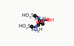 CN(CCCOO)C(=O)c1ccccc1-c1c2cc/c(=N/CCc3ccc(S(=O)(=O)O)cc3S(=O)(=O)O)cc-2oc2cc(NCCc3ccc(S(=O)(=O)O)cc3S(=O)(=O)O)ccc12